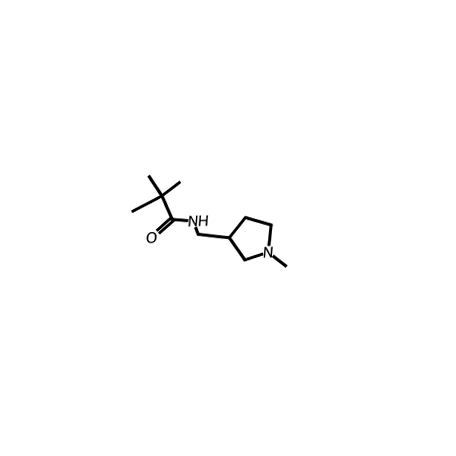 CN1CCC(CNC(=O)C(C)(C)C)C1